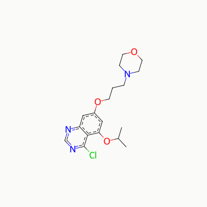 CC(C)Oc1cc(OCCCN2CCOCC2)cc2ncnc(Cl)c12